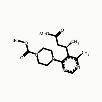 COC(=O)C[C@@H](C)c1c(C)ncnc1N1CCN(C(=O)OC(C)(C)C)CC1